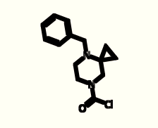 O=C(Cl)N1CCN(Cc2ccccc2)C2(CC2)C1